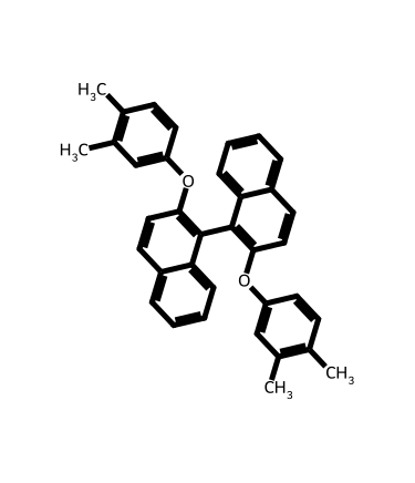 Cc1ccc(Oc2ccc3ccccc3c2-c2c(Oc3ccc(C)c(C)c3)ccc3ccccc23)cc1C